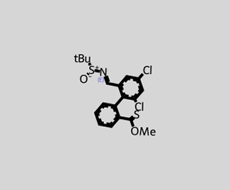 COC(=S)c1ccccc1-c1c(Cl)cc(Cl)cc1/C=N/[S+]([O-])C(C)(C)C